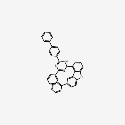 c1ccc(C2=NC(c3cccc4oc5ccc(-c6ccccc6)cc5c34)NC(c3ccc(-c4ccccc4)cc3)=N2)cc1